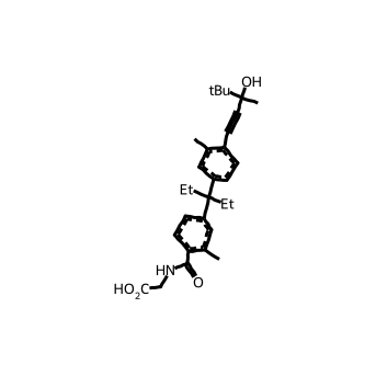 CCC(CC)(c1ccc(C#CC(C)(O)C(C)(C)C)c(C)c1)c1ccc(C(=O)NCC(=O)O)c(C)c1